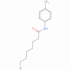 O=C(CCCCCCBr)Nc1ccc(C(F)(F)F)cc1